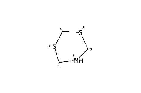 C1NCSCS1